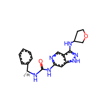 C[C@@H](NC(=O)Nc1cc2[nH]nc(NC3CCOC3)c2cn1)c1ccccc1